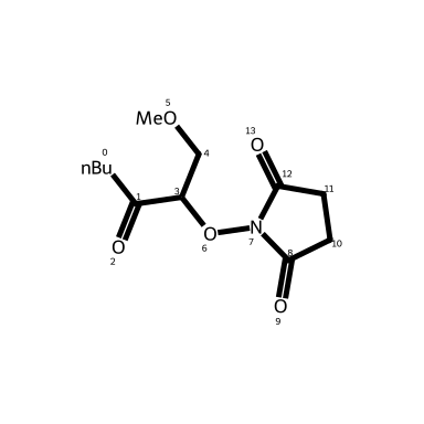 CCCCC(=O)C(COC)ON1C(=O)CCC1=O